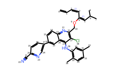 C=C/C=C\C(=C/C(C)C)OCc1nc2ccc(-c3ccc(C#N)nc3)cc2c(Nc2cc(C)ccc2C)c1Cl